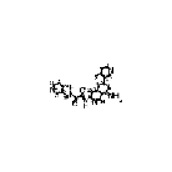 Cc1ccncc1-c1cc2cc(NC(=O)C(=O)NCc3cccnc3)ncc2c(N)n1